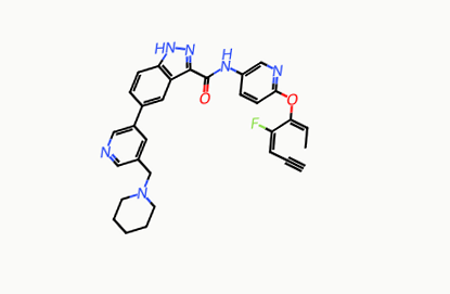 C#C/C=C(F)\C(=C/C)Oc1ccc(NC(=O)c2n[nH]c3ccc(-c4cncc(CN5CCCCC5)c4)cc23)cn1